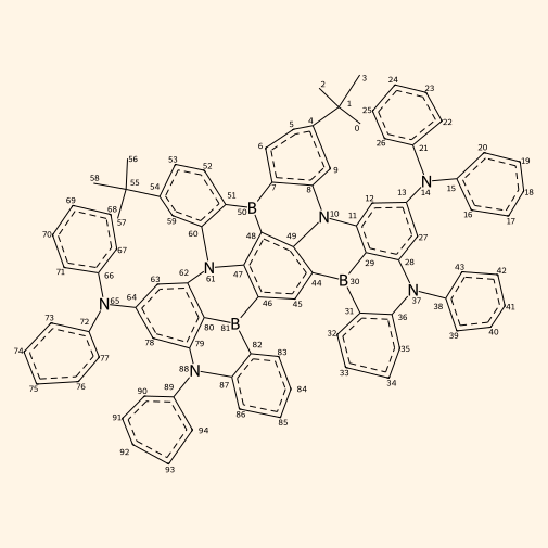 CC(C)(C)c1ccc2c(c1)N1c3cc(N(c4ccccc4)c4ccccc4)cc4c3B(c3ccccc3N4c3ccccc3)c3cc4c5c(c31)B2c1ccc(C(C)(C)C)cc1N5c1cc(N(c2ccccc2)c2ccccc2)cc2c1B4c1ccccc1N2c1ccccc1